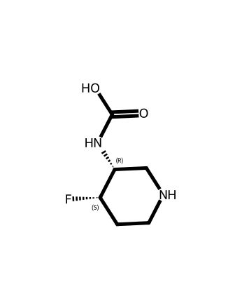 O=C(O)N[C@@H]1CNCC[C@@H]1F